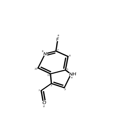 O=Cc1c[nH]c2cc(F)ncc12